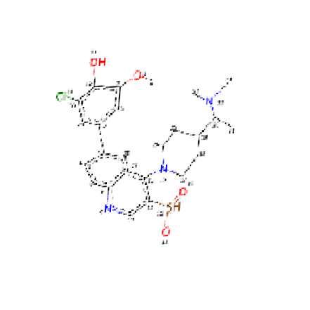 COc1cc(-c2ccc3ncc([SH](=O)=O)c(N4CCC(C(C)N(C)C)CC4)c3c2)cc(Cl)c1O